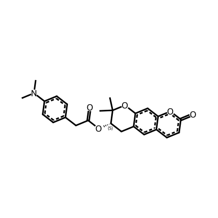 CN(C)c1ccc(CC(=O)O[C@H]2Cc3cc4ccc(=O)oc4cc3OC2(C)C)cc1